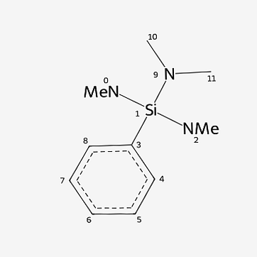 CN[Si](NC)(c1ccccc1)N(C)C